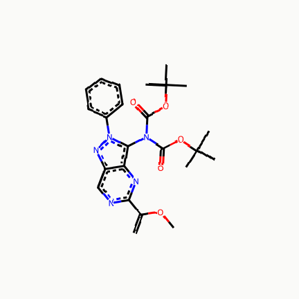 C=C(OC)c1ncc2nn(-c3ccccc3)c(N(C(=O)OC(C)(C)C)C(=O)OC(C)(C)C)c2n1